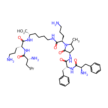 CC(C)C[C@@H](N)C(=O)N[C@H](CCCN)C(=O)N[C@@H](CCCCNC(=O)[C@@H](CCCN)N1C(=O)[C@H](NC(=O)[C@@H](Cc2ccccc2)NC(=O)[C@H](N)Cc2ccccc2)CC1C)C(=O)O